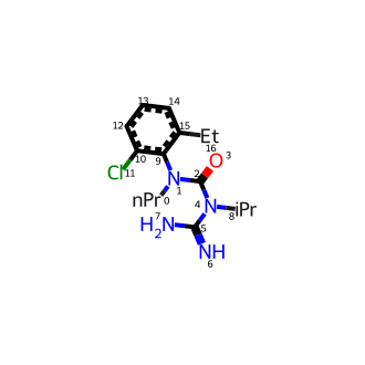 CCCN(C(=O)N(C(=N)N)C(C)C)c1c(Cl)cccc1CC